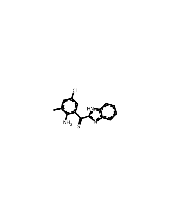 Cc1cc(Cl)cc(C(=S)c2nc3ccccc3[nH]2)c1N